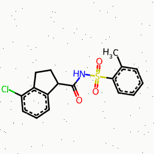 Cc1ccccc1S(=O)(=O)NC(=O)C1CCc2c(Cl)cccc21